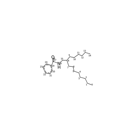 CCCCCCCCC(CCCCCC)CNC(=O)c1ccccc1